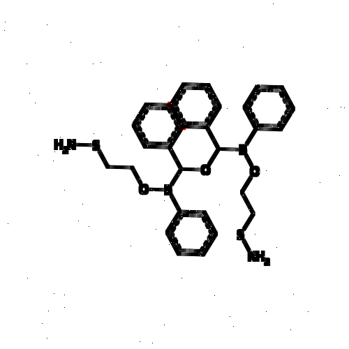 NSCCOB(c1ccccc1)C(OC(B(OCCSN)c1ccccc1)c1ccccc1)c1ccccc1